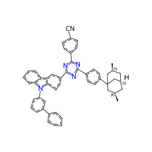 C[C@@H]1C[C@@H]2C[C@H](C)CC(c3ccc(-c4nc(-c5ccc(C#N)cc5)nc(-c5ccc6c(c5)c5ccccc5n6-c5cccc(-c6ccccc6)c5)n4)cc3)(C1)C2